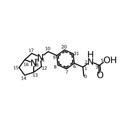 CC(NC(=O)O)c1ccc(CN2CC3CCC(C2)N3C)cc1